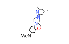 CNc1ccc2c(c1)OCC1CN(c3cc(C)cc(C)n3)CCN21